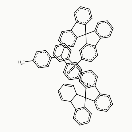 Cc1ccc(N(c2ccc(C)cc2)c2ccc3c(c2)C2(c4ccccc4-3)c3ccccc3-c3ccc(P(=O)(c4ccccc4)c4ccc5c(c4)C4(c6ccccc6-5)c5ccccc5C5C=CC=CC54)cc32)cc1